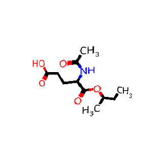 CCC(C)OC(=O)C(CCC(=O)O)NC(C)=O